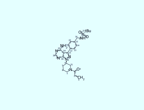 C=CC(=O)N1CCC[C@@H](n2nc(-c3ccc(CNS(=O)(=O)C(C)(C)C)cc3)c3c(N)ncnc32)C1